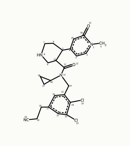 Cn1ccc(C2CCNCC2C(=O)N(Cc2cc(CCC#N)cc(Cl)c2Cl)C2CC2)cc1=O